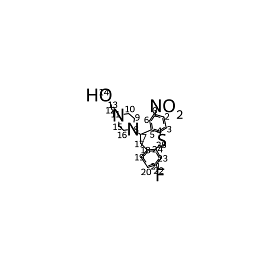 O=[N+]([O-])c1ccc2c(c1)C(N1CCN(CCO)CC1)Cc1ccc(F)cc1S2